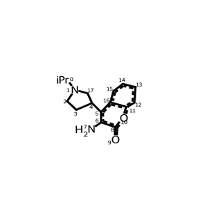 CC(C)N1CCC(c2c(N)c(=O)oc3ccccc23)C1